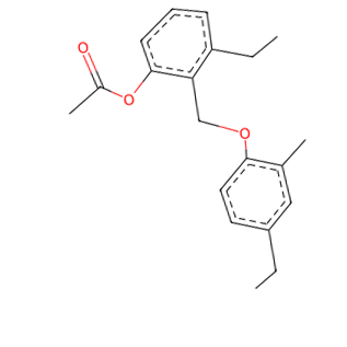 CCc1ccc(OCc2c(CC)cccc2OC(C)=O)c(C)c1